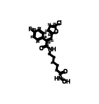 O=C(CCCCCNC(=O)/C(=C/c1ccc(Cl)o1)c1ccc(F)cc1)NO